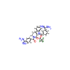 N=C(N)c1ccc(C(=O)N2CCc3c(n(Cc4cccc(C(=N)N)c4)c4ccccc34)C2OC(=O)C(F)(F)F)cc1